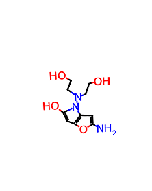 Nc1cc2c(cc(O)n2N(CCO)CCO)o1